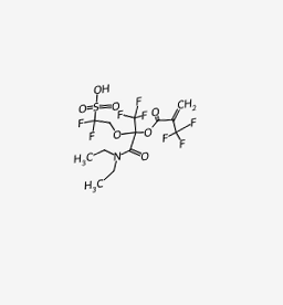 C=C(C(=O)OC(OCC(F)(F)S(=O)(=O)O)(C(=O)N(CC)CC)C(F)(F)F)C(F)(F)F